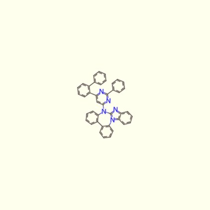 c1ccc(-c2nc(-c3ccccc3-c3ccccc3)cc(N3c4ccccc4-c4ccccc4-n4c3nc3ccccc34)n2)cc1